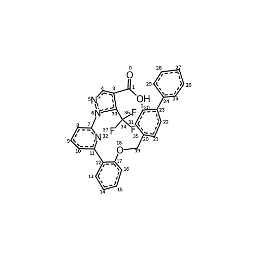 O=C(O)c1cnn(-c2cccc(-c3ccccc3OCc3ccc(-c4ccccc4)cc3)n2)c1C(F)(F)F